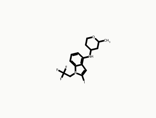 CC1CC(Nc2cccc3c2cc(I)n3CC(F)(F)F)CCO1